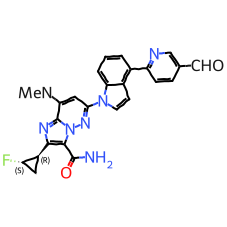 CNc1cc(-n2ccc3c(-c4ccc(C=O)cn4)cccc32)nn2c(C(N)=O)c([C@H]3C[C@@H]3F)nc12